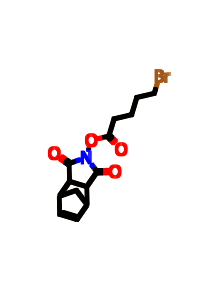 O=C(CCCCBr)ON1C(=O)C2C3C=CC(C3)C2C1=O